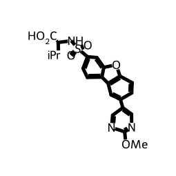 COc1ncc(-c2ccc3oc4cc(S(=O)(=O)N[C@H](C(=O)O)C(C)C)ccc4c3c2)cn1